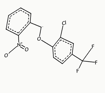 O=[N+]([O-])c1ccccc1[CH]Oc1ccc(C(F)(F)F)cc1Cl